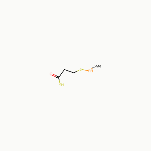 CSPSCCC(=O)S